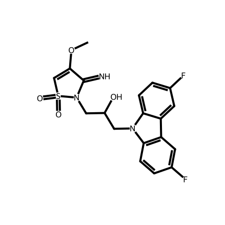 COC1=CS(=O)(=O)N(CC(O)Cn2c3ccc(F)cc3c3cc(F)ccc32)C1=N